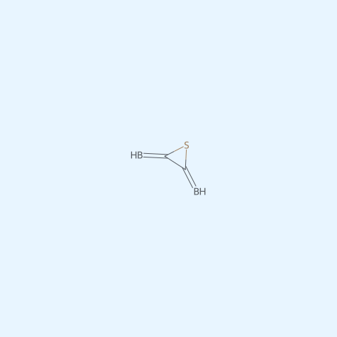 B=C1SC1=B